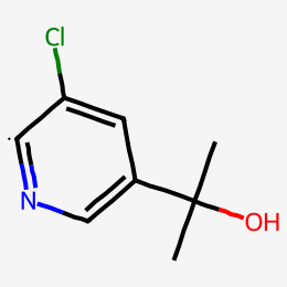 CC(C)(O)c1cn[c]c(Cl)c1